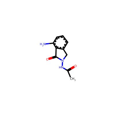 CC(=O)NN1Cc2cccc(N)c2C1=O